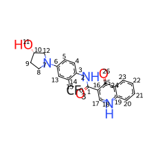 O=C(Nc1ccc(N2CC[C@H](O)C2)cc1C(F)(F)F)c1c[nH]c2ccccc2c1=O